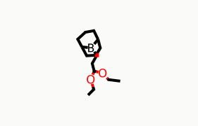 CCOC(CCB1C2CCCC1CCC2)OCC